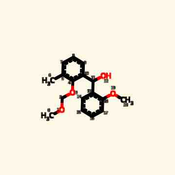 COCOc1c(C)cccc1C(O)c1ccccc1OC